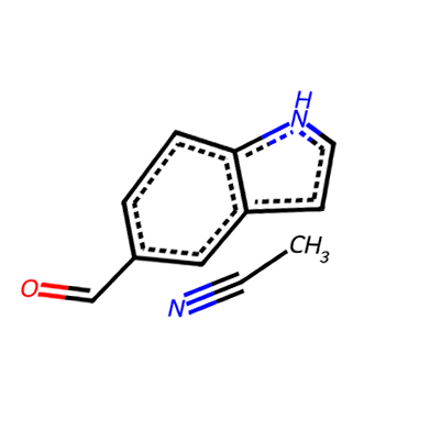 CC#N.O=Cc1ccc2[nH]ccc2c1